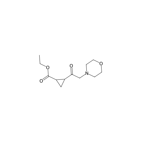 CCOC(=O)C1CC1C(=O)CN1CCOCC1